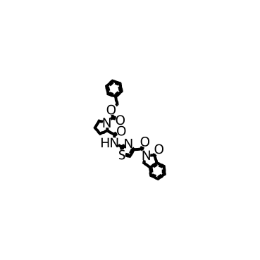 O=C(Nc1nc(C(=O)N2Cc3ccccc3C2=O)cs1)C1CCCN1C(=O)OCc1ccccc1